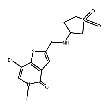 Cn1cc(Br)c2sc(CNC3CCS(=O)(=O)C3)cc2c1=O